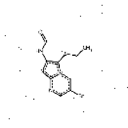 CCSc1c(NC=O)nc2ncc(Br)cn12